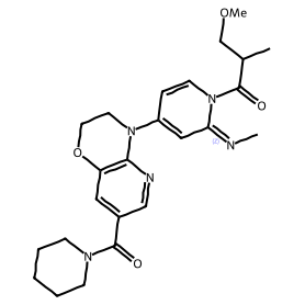 C/N=c1/cc(N2CCOc3cc(C(=O)N4CCCCC4)cnc32)ccn1C(=O)C(C)COC